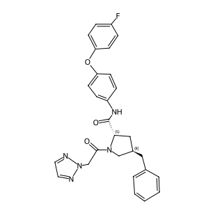 O=C(Nc1ccc(Oc2ccc(F)cc2)cc1)[C@@H]1C[C@@H](Cc2ccccc2)CN1C(=O)Cn1nccn1